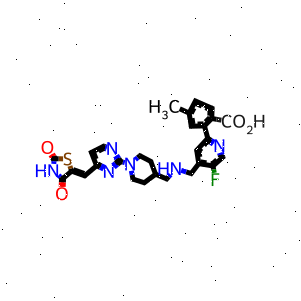 Cc1ccc(C(=O)O)c(-c2cc(CNCC3CCN(c4nccc(/C=C5\SC(=O)NC5=O)n4)CC3)c(F)cn2)c1